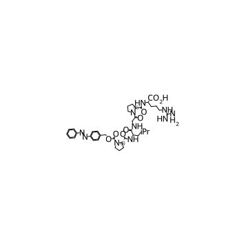 CC(C)CC(NC(=O)[C@@H]1CCCN1C(=O)OCc1ccc(N=Nc2ccccc2)cc1)C(=O)NCC(=O)N1CCC[C@H]1C(=O)NC(CCCNC(=N)N)C(=O)O